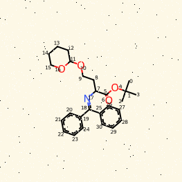 CC(C)(C)OC(=O)C(CCOC1CCCCO1)N=C(c1ccccc1)c1ccccc1